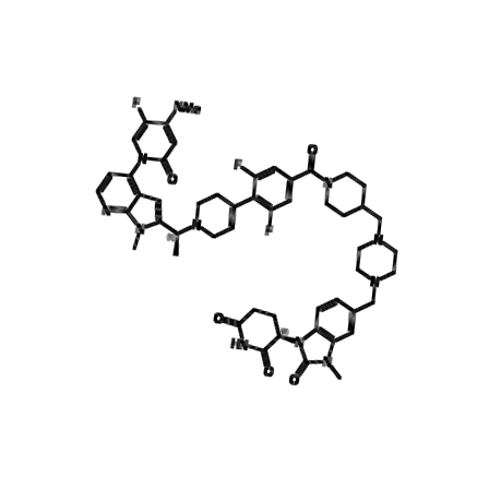 CNc1cc(=O)n(-c2ccnc3c2cc([C@H](C)N2CC=C(c4c(F)cc(C(=O)N5CCC(CN6CCN(Cc7ccc8c(c7)n(C)c(=O)n8[C@@H]7CCC(=O)NC7=O)CC6)CC5)cc4F)CC2)n3C)cc1F